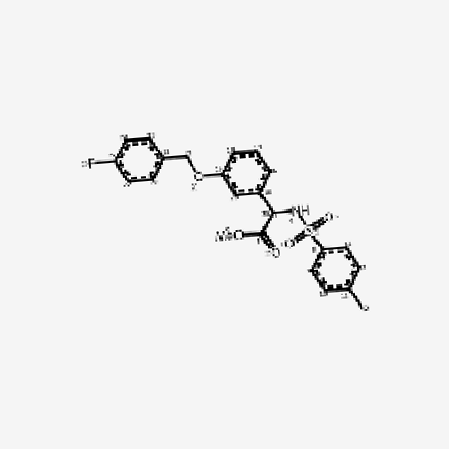 COC(=O)[C@H](NS(=O)(=O)c1ccc(C)cc1)c1cccc(OCc2ccc(F)cc2)c1